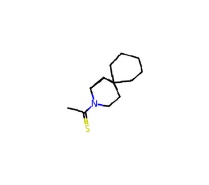 CC(=S)N1CCC2(CCCCC2)CC1